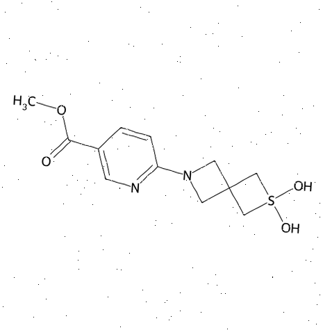 COC(=O)c1ccc(N2CC3(C2)CS(O)(O)C3)nc1